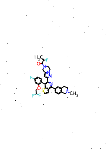 C=C(F)C(=O)N1CCn2nc(-c3nc(-c4ccc5c(c4)CCN(C)C5)c4ccsc4c3-c3ccc(F)cc3OCC(F)F)cc2C1